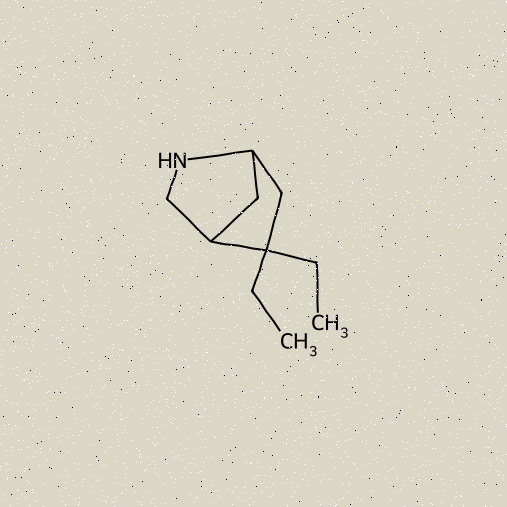 CCC1(CC)CC2CC1CN2